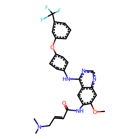 COc1cc2ncnc(Nc3ccc(Oc4cccc(C(F)(F)F)c4)cc3)c2cc1NC(=O)C=CCN(C)C